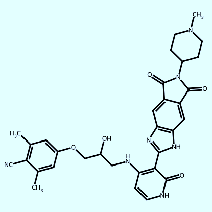 Cc1cc(OCC(O)CNc2cc[nH]c(=O)c2-c2nc3cc4c(cc3[nH]2)C(=O)N(C2CCN(C)CC2)C4=O)cc(C)c1C#N